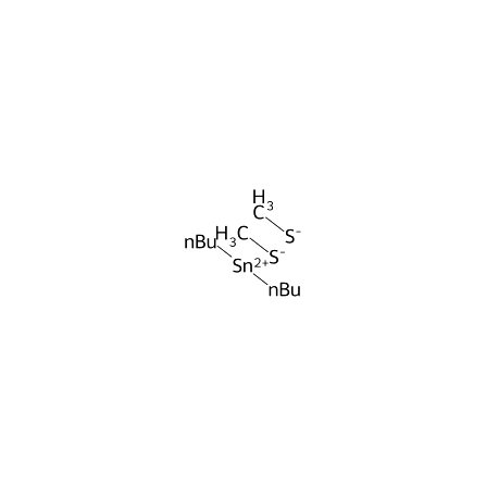 CCC[CH2][Sn+2][CH2]CCC.C[S-].C[S-]